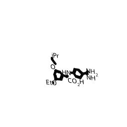 CCOc1cc(OCCC(C)C)cc(C(Nc2ccc(C(=N)N)cc2)C(=O)O)c1